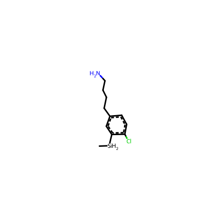 C[SiH2]c1cc(CCCCN)ccc1Cl